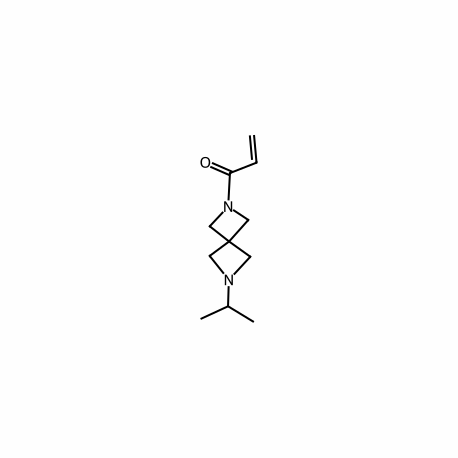 C=CC(=O)N1CC2(C1)CN(C(C)C)C2